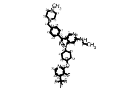 CCNc1cc2c(cn1)c(-c1ccc(CN3CCN(C)CC3)cc1)nn2C1CCC(Oc2nccc(C(F)(F)F)c2F)CC1